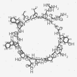 CCCC[C@H]1C(=O)N(C)[C@@H](CCCC)C(=O)N[C@@H](CCCNC(=N)N)C(=O)N[C@H](C(=O)NCC(N)=O)CSCC(=O)N[C@@H](Cc2ccc(O)cc2)C(=O)N(C)[C@@H](C)C(=O)N[C@@H](CC(N)=O)C(=O)N2CCC[C@H]2C(=O)N[C@@H](CN)C(=O)N[C@@H](CCC(=O)O)C(=O)N2C[C@H](O)C[C@H]2C(=O)N[C@@H](Cc2c[nH]c3ccccc23)C(=O)N[C@@H](CO)C(=O)N[C@@H](Cc2csc3ccccc23)C(=O)N1C